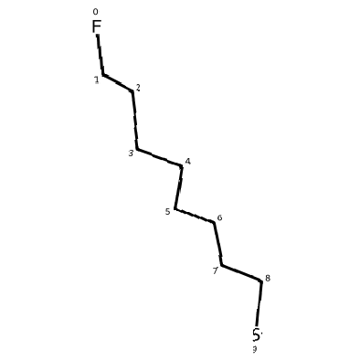 FCCCCCCCC[S]